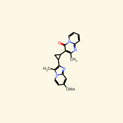 COc1ccn2c(C)c(C3CC3c3c(C)nc4ccccn4c3=O)nc2c1